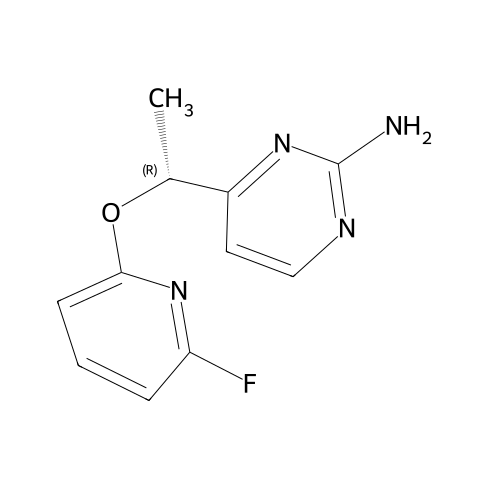 C[C@@H](Oc1cccc(F)n1)c1ccnc(N)n1